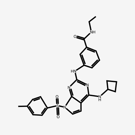 CCNC(=O)c1cccc(Nc2nc(NC3CCC3)c3ccn(S(=O)(=O)c4ccc(C)cc4)c3n2)c1